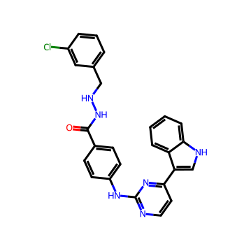 O=C(NNCc1cccc(Cl)c1)c1ccc(Nc2nccc(-c3c[nH]c4ccccc34)n2)cc1